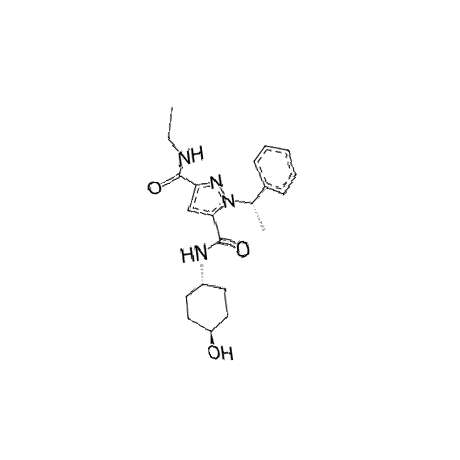 CCNC(=O)c1cc(C(=O)N[C@H]2CC[C@H](O)CC2)n([C@@H](C)c2ccccc2)n1